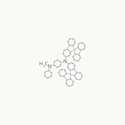 CN(c1ccccc1)c1ccc(N(c2ccc3c(c2)C2(c4ccccc4-c4ccccc42)c2ccccc2-3)c2ccc3c(c2)C2(c4ccccc4-c4ccccc42)c2ccccc2-3)cc1